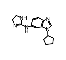 c1cc2ncn(C3CCCC3)c2cc1NC1=NCCN1